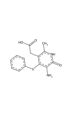 Cc1[nH]c(=O)c(N)c(Sc2ccccc2)c1CC(=O)O